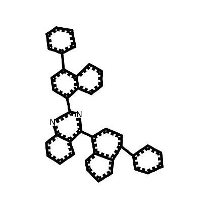 c1ccc(-c2ccc(-c3nc(-c4ccc(-c5ccccc5)c5ccccc45)c4ccccc4n3)c3ccccc23)cc1